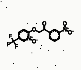 O=C(COc1ccc(C(F)(F)F)c[n+]1[O-])c1cccc([N+](=O)[O-])c1